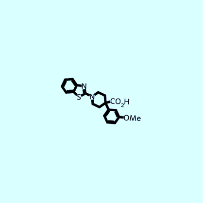 COc1cccc(C2(C(=O)O)CCN(c3nc4ccccc4s3)CC2)c1